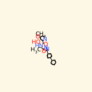 COc1ccnc(C(=O)N[C@@H](C)c2nnc(-c3ccc(-c4ccccc4)cc3)o2)c1O